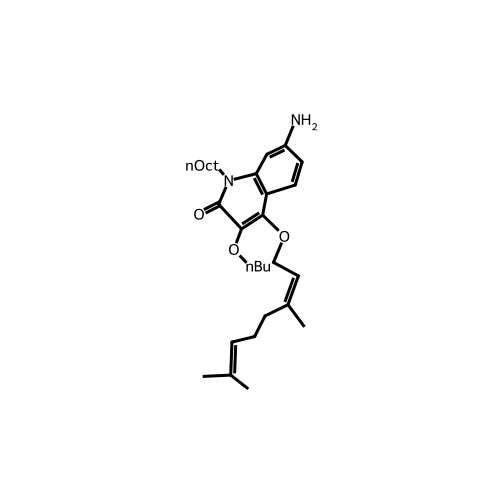 CCCCCCCCn1c(=O)c(OCCCC)c(OCC=C(C)CCC=C(C)C)c2ccc(N)cc21